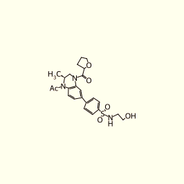 CC(=O)N1c2ccc(-c3ccc(S(=O)(=O)NCCO)cc3)cc2N(C(=O)C2CCCO2)C[C@@H]1C